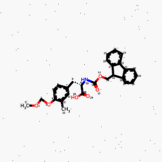 COCOc1ccc(C[C@H](NC(=O)OCC2c3ccccc3-c3ccccc32)C(=O)O)cc1C